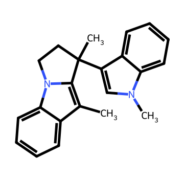 Cc1c2n(c3ccccc13)CCC2(C)c1cn(C)c2ccccc12